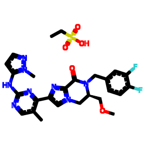 CCS(=O)(=O)O.COC[C@H]1Cn2cc(-c3nc(Nc4ccnn4C)ncc3C)nc2C(=O)N1Cc1ccc(F)c(F)c1